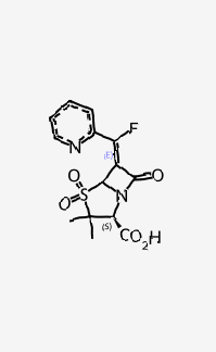 CC1(C)[C@H](C(=O)O)N2C(=O)/C(=C(\F)c3ccccn3)C2S1(=O)=O